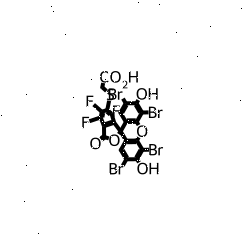 O=C(O)CSc1c(F)c(F)c2c(c1F)C1(OC2=O)c2cc(Br)c(O)c(Br)c2Oc2c1cc(Br)c(O)c2Br